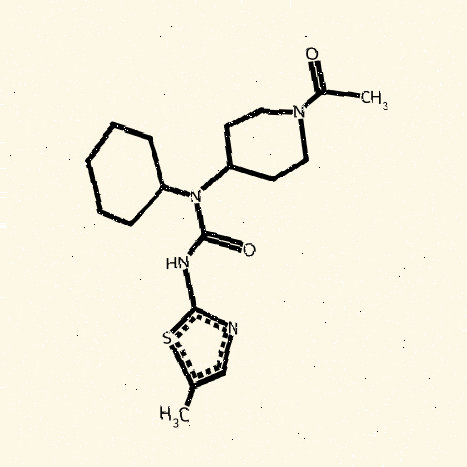 CC(=O)N1CCC(N(C(=O)Nc2ncc(C)s2)C2CCCCC2)CC1